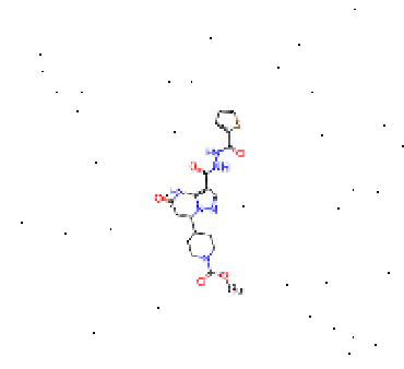 CC(C)(C)OC(=O)N1CCC(c2cc(=O)[nH]c3c(C(=O)NNC(=O)c4cccs4)cnn23)CC1